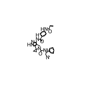 C=CC(=O)Nc1ccc(C(=O)Nc2n[nH]c3c2CN(C(=O)NC(CN(C)C)c2ccccc2)C32CC2)cc1